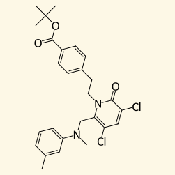 Cc1cccc(N(C)Cc2c(Cl)cc(Cl)c(=O)n2CCc2ccc(C(=O)OC(C)(C)C)cc2)c1